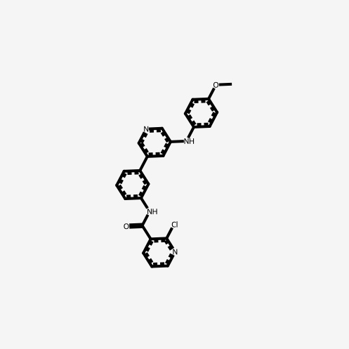 COc1ccc(Nc2cncc(-c3cccc(NC(=O)c4cccnc4Cl)c3)c2)cc1